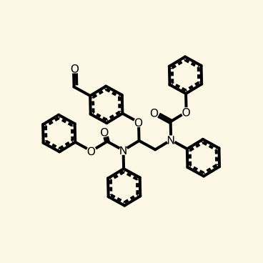 O=Cc1ccc(OC(CN(C(=O)Oc2ccccc2)c2ccccc2)N(C(=O)Oc2ccccc2)c2ccccc2)cc1